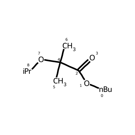 CCCCOC(=O)C(C)(C)OC(C)C